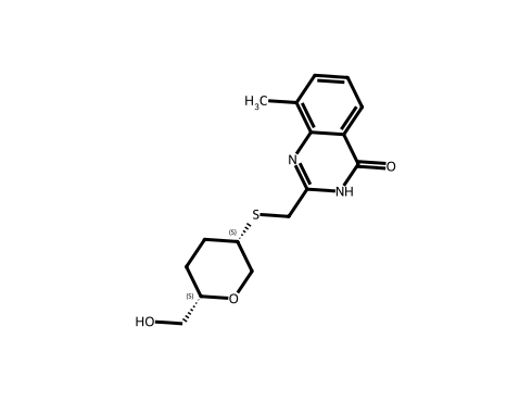 Cc1cccc2c(=O)[nH]c(CS[C@H]3CC[C@@H](CO)OC3)nc12